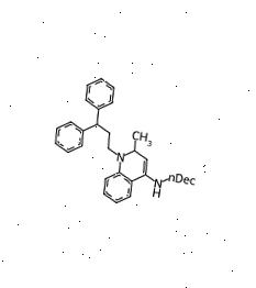 CCCCCCCCCCNC1=CC(C)N(CCC(c2ccccc2)c2ccccc2)c2ccccc21